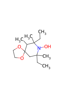 CCC1(C)CC2(OCCO2)C(C)C(C)(CC)N1O